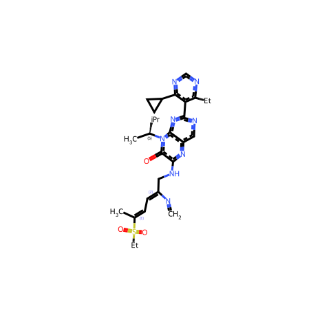 C=N/C(=C\C=C(/C)S(=O)(=O)CC)CNc1nc2cnc(-c3c(CC)ncnc3C3CC3)nc2n([C@@H](C)C(C)C)c1=O